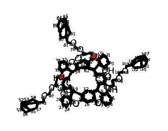 O=C(COc1ccccc1C1c2cc(c(O)cc2O)C(c2ccccc2)c2cc(c(O)cc2O)C(c2ccccc2OCC(=O)OCOCC23CC4CC(CC(C4)C2)C3)c2cc(c(O)cc2O)C(c2ccccc2OCC(=O)OCOCC23CC4CC(CC(C4)C2)C3)c2cc1c(O)cc2O)OCOCC12CC3CC(CC(C3)C1)C2